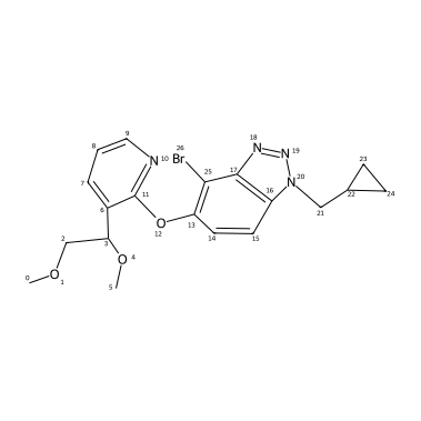 COCC(OC)c1cccnc1Oc1ccc2c(nnn2CC2CC2)c1Br